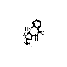 NC(=O)CC1NC(=O)c2ccccc2NC1=O